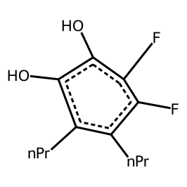 CCCc1c(O)c(O)c(F)c(F)c1CCC